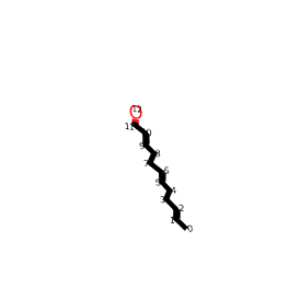 CC=CCCC=CCCC=CC=O